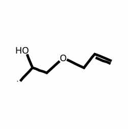 [CH2]C(O)COCC=C